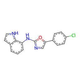 Clc1ccc(-c2cnc(Nc3cccc4cc[nH]c34)o2)cc1